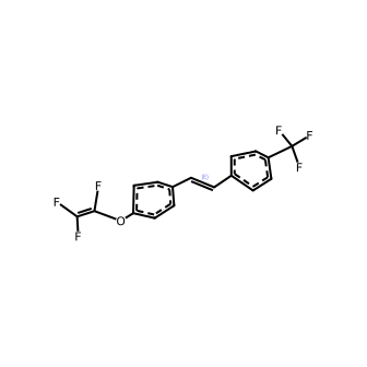 FC(F)=C(F)Oc1ccc(/C=C/c2ccc(C(F)(F)F)cc2)cc1